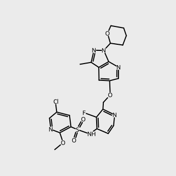 COc1ncc(Cl)cc1S(=O)(=O)Nc1ccnc(COc2cnc3c(c2)c(C)nn3C2CCCCO2)c1F